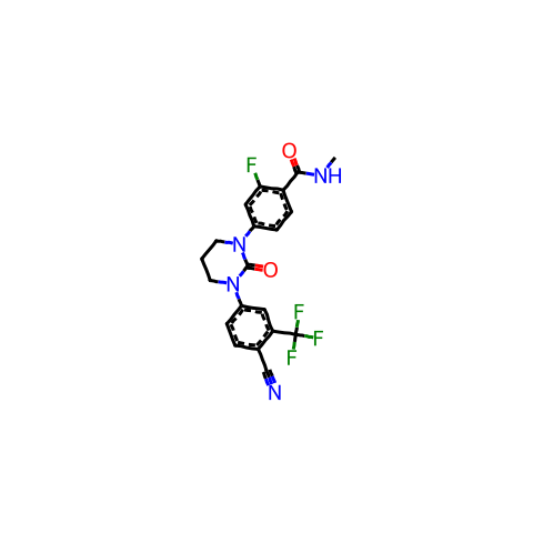 CNC(=O)c1ccc(N2CCCN(c3ccc(C#N)c(C(F)(F)F)c3)C2=O)cc1F